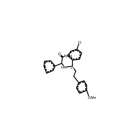 CNC(=O)C(N[C@H](CCc1ccc(OC)cc1)c1ccc(Cl)cc1)c1ccccc1